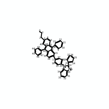 CCCc1ccc2c(-c3ccccc3)c3cc(-c4ccc(-n5c(-c6ccccc6)nc6ccccc65)cc4)ccc3c(-c3ccccc3)c2c1